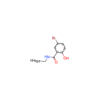 CCCCCCCCNC(=O)c1cc(Br)ccc1O